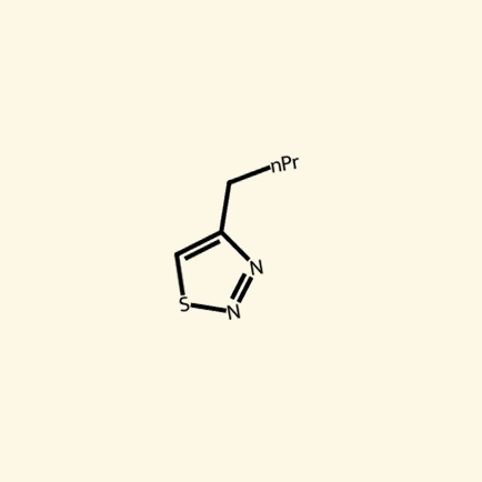 CCCCc1csnn1